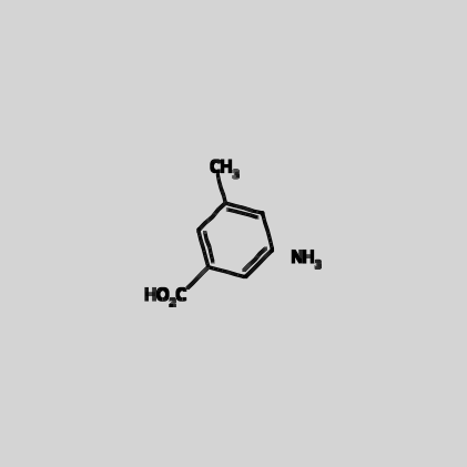 Cc1cccc(C(=O)O)c1.N